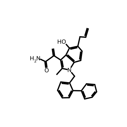 C=CCc1ccc2c(c1O)c(C(=C)C(N)=O)c(C)n2Cc1ccccc1-c1ccccc1